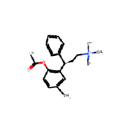 Cc1ccc(OC(=O)C(C)C)c([C@H](CC[N+](C)(C(C)C)C(C)C)c2ccccc2)c1